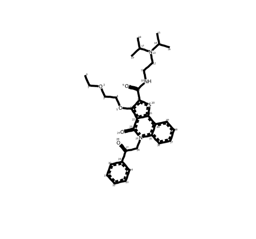 CCOCCOc1c(C(=O)NCCN(C(C)C)C(C)C)sc2c1c(=O)n(CC(=O)c1ccccc1)c1ccccc21